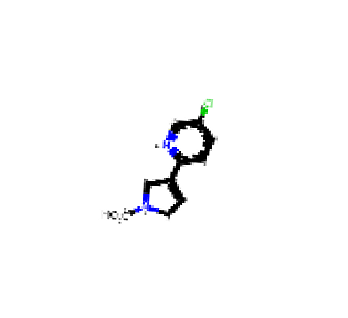 O=C(O)N1CC=C(c2ccc(Cl)cn2)C1